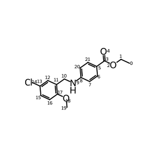 CCOC(=O)c1ccc(NCc2cc(Cl)ccc2OC)cc1